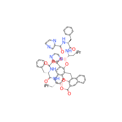 CC(C)CC(NC(=O)[C@H](Cc1ccccc1)NC(=O)c1cnccn1)B1OC(=O)c2cc3ccccc3c(Cc3c4c(cc5ccccc35)C(=O)OB([C@H](CC(C)C)NC(=O)[C@H](Cc3ccccc3)NC(=O)c3cnccn3)O4)c2O1